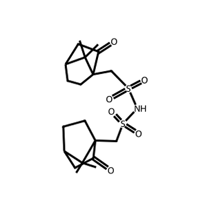 CC1(C)C2CCC1(CS(=O)(=O)NS(=O)(=O)CC13CCC(CC1=O)C3(C)C)C(=O)C2